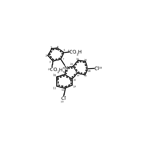 O=C(O)c1cccc(C(=O)O)c1-n1c2ccc(Cl)cc2c2cc(Cl)ccc21